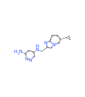 Nc1cc(NCc2cn3cc(C4CC4)ccc3n2)cnn1